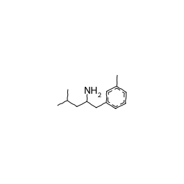 Cc1cccc(CC(N)CC(C)C)c1